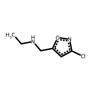 CCNCc1cc(Cl)no1